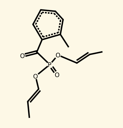 CC=COP(=O)(OC=CC)C(=O)c1ccccc1C